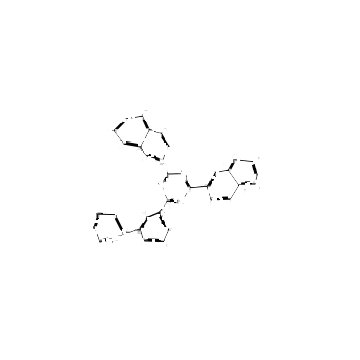 c1ccc(-c2cccc(-c3nc(-c4ccc5ccccc5c4)nc(-c4ccc5ccccc5c4)n3)c2)nc1